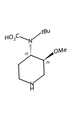 CO[C@H]1CNCC[C@@H]1N(C(=O)O)C(C)(C)C